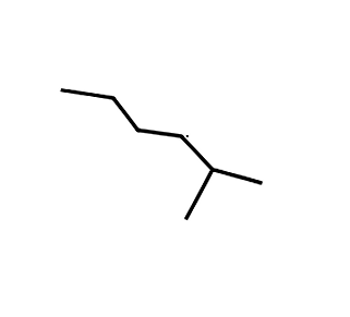 CCC[CH]C(C)C